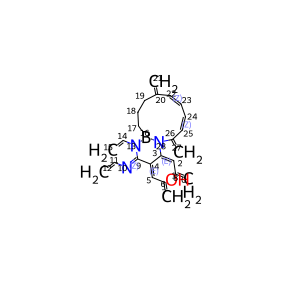 C=C\C=C1C(=C\C(=C)O)/C(=N/C=C)N(C=C)B2CCCC(=C)/C=C\C=C/C(=C)N2/1